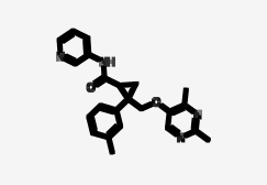 Cc1cccc(C2(COc3cnc(C)nc3C)CC2C(=O)Nc2cccnc2)c1